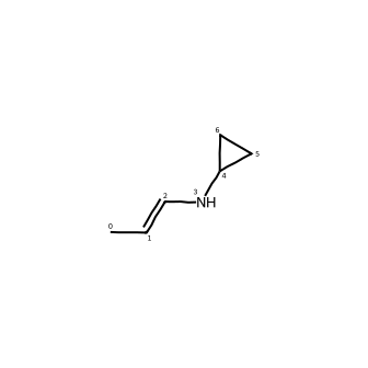 CC=CNC1CC1